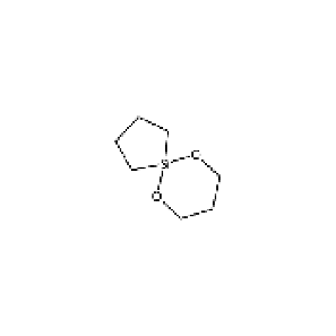 C1CO[Si]2(CCCC2)OC1